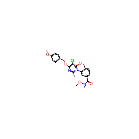 COc1ccc(COc2nc(C)n(-c3cc(C(=O)N(C)OC)ccc3C)c(=O)c2Cl)cc1